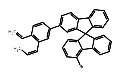 C=Cc1ccc(-c2ccc3c(c2)C2(c4ccccc4-3)c3ccccc3-c3c(Br)cccc32)cc1/C=C\C